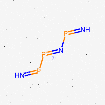 N=P/N=P/P=N